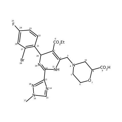 CCOC(=O)C1=C(CN2CCOC(C(=O)O)C2)NC(c2ncn(C)n2)=NC1c1ccc(F)cc1Br